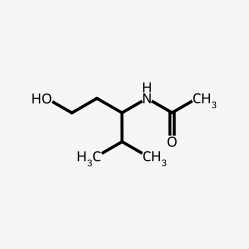 CC(=O)NC(CCO)C(C)C